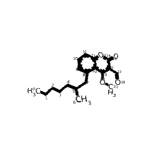 CCCCCC(C)Cc1cccc2oc(=O)c(C=O)c(OC)c12